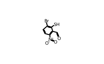 O=Cc1c([N+](=O)[O-])ccc(Br)c1S